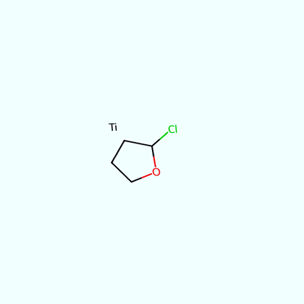 ClC1CCCO1.[Ti]